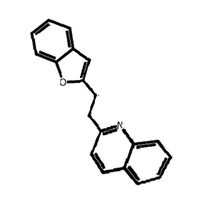 [CH](Cc1ccc2ccccc2n1)c1cc2ccccc2o1